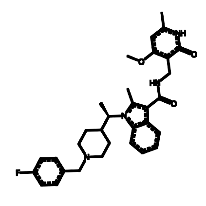 COc1cc(C)[nH]c(=O)c1CNC(=O)c1c(C)n([C@H](C)C2CCN(Cc3ccc(F)cc3)CC2)c2ccccc12